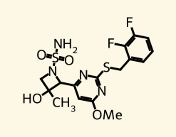 COc1cc(C2N(S(N)(=O)=O)CC2(C)O)nc(SCc2cccc(F)c2F)n1